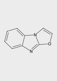 c1ccc2c(c1)nc1occn12